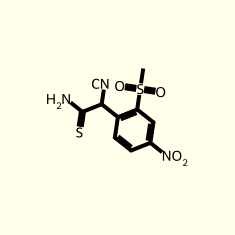 CS(=O)(=O)c1cc([N+](=O)[O-])ccc1C(C#N)C(N)=S